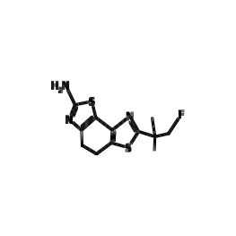 CC(C)(CF)c1nc2c(s1)CCc1nc(N)sc1-2